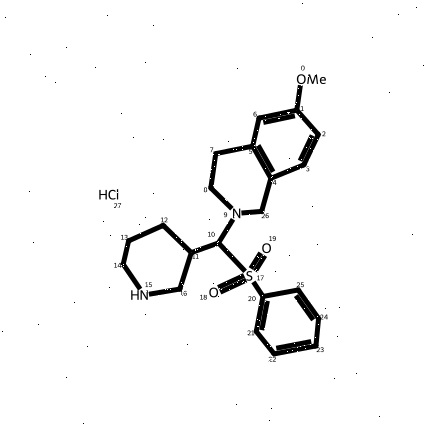 COc1ccc2c(c1)CCN(C(C1CCCNC1)S(=O)(=O)c1ccccc1)C2.Cl